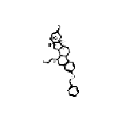 CCC[C@@H]1Cc2cc(OCc3ccccc3)ccc2C2CC[C@@]3(C)C(C[C@H]4CCC(=O)C[C@]43O)C21